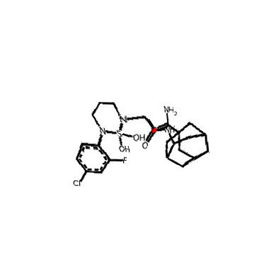 NC(=O)C12CC3CC(C1)C(NC(=O)CN1CCCN(c4ccc(Cl)cc4F)S1(O)O)C(C3)C2